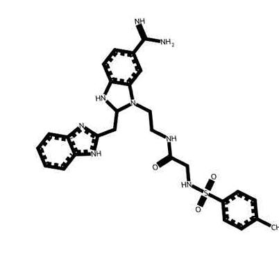 Cc1ccc(S(=O)(=O)NCC(=O)NCCN2c3cc(C(=N)N)ccc3NC2Cc2nc3ccccc3[nH]2)cc1